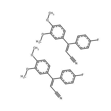 COc1ccc(C(=CC#N)c2ccc(F)cc2)cc1OC.COc1ccc(C(=CC#N)c2ccc(F)cc2)cc1OC